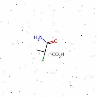 C[C@](F)(C(N)=O)C(=O)O